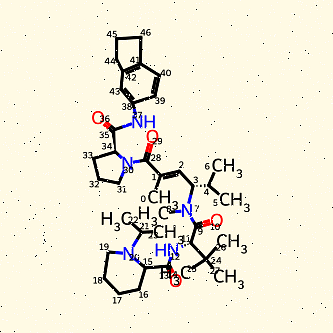 C/C(=C\[C@H](C(C)C)N(C)C(=O)[C@@H](NC(=O)C1CCCCN1C(C)C)C(C)(C)C)C(=O)N1CCC[C@H]1C(=O)Nc1ccc2c(c1)CCC2